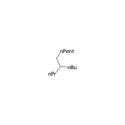 [CH2]CCC(CCCC)CCCCCC